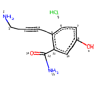 Cl.NCC#Cc1ccc(O)cc1C(N)=O